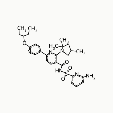 CCC(CC)Oc1ccc(-c2ccc(C(=O)NS(=O)(=O)c3cccc(N)n3)c(N3CC(C)CC3(C)C)n2)cn1